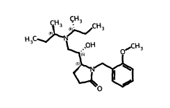 CC[C@@H](C)N(C[C@H](O)[C@@H]1CCC(=O)N1Cc1ccccc1OC)[C@H](C)CC